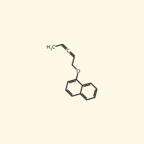 CC=C=CCOc1cccc2ccccc12